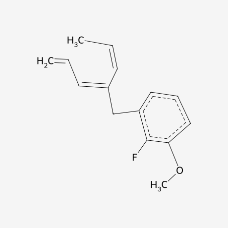 C=C/C=C(\C=C/C)Cc1cccc(OC)c1F